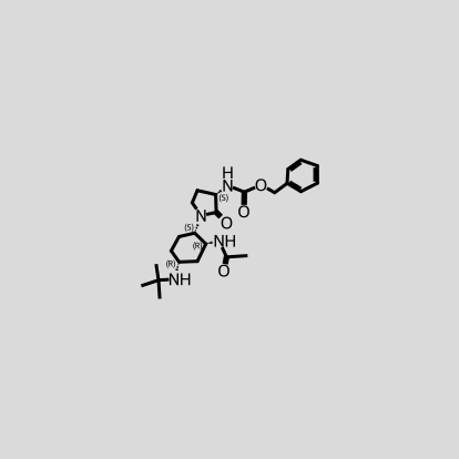 CC(=O)N[C@@H]1C[C@H](NC(C)(C)C)CC[C@@H]1N1CC[C@H](NC(=O)OCc2ccccc2)C1=O